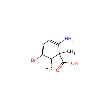 CC1C(Br)=CC=C(N)C1(C)C(=O)O